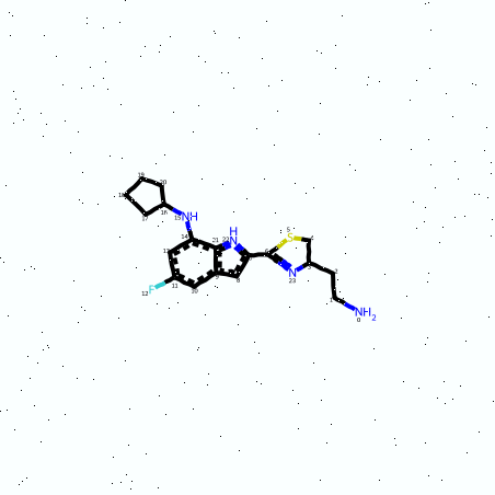 NCCC1CSC(c2cc3cc(F)cc(NC4CCCC4)c3[nH]2)=N1